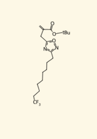 C=C(Cc1nc(CCCCCCCCC(F)(F)F)no1)C(=O)OC(C)(C)C